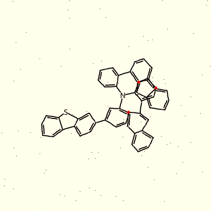 c1cc(-c2ccc3c(c2)sc2ccccc23)cc(N(c2ccccc2-c2ccc3ccccc3c2)c2ccccc2-c2cccc3c2sc2ccccc23)c1